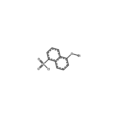 CCOc1cccc2c(S(=O)(=O)Cl)cccc12